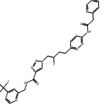 O=C(Cc1ccccn1)Nc1ccc(CCC(F)Cn2cc(C(=O)NCc3cc(C(F)(F)I)ccn3)nn2)nn1